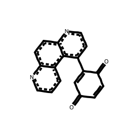 O=C1C=CC(=O)C(c2ccnc3ccc4ncccc4c23)=C1